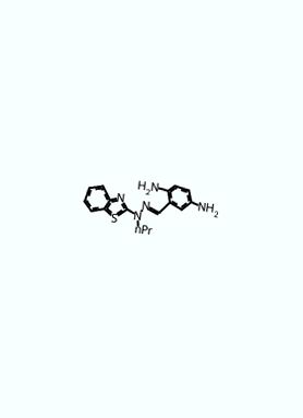 CCCN(/N=C/c1cc(N)ccc1N)c1nc2ccccc2s1